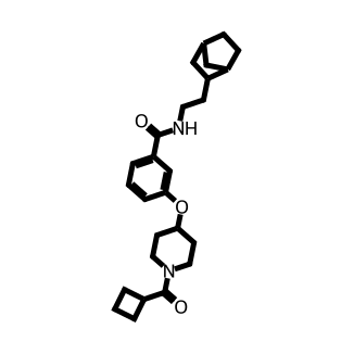 O=C(NCCC1CC2CCC1C2)c1cccc(OC2CCN(C(=O)C3CCC3)CC2)c1